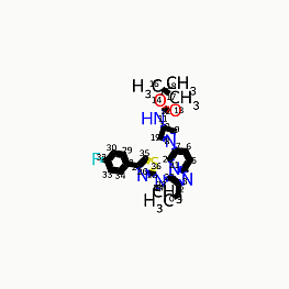 CCc1nc2ccc(N3CC(NC(=O)OC(C)(C)C)C3)cn2c1N(C)c1nc(-c2ccc(F)cc2)cs1